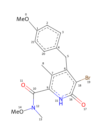 COc1ccc(Cc2c(C)c(C(=O)N(C)OC)[nH]c(=O)c2Br)cc1